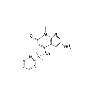 Cn1c(=O)cc(NC(C)(C)c2ncccn2)c2cc(N)cnc21